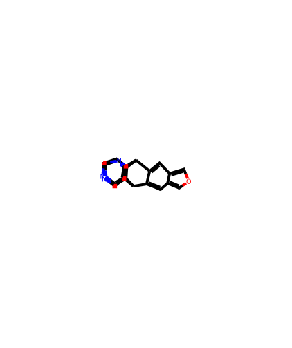 c1cc2c(cn1)C1c3cc4cocc4cc3C2c2ncncc21